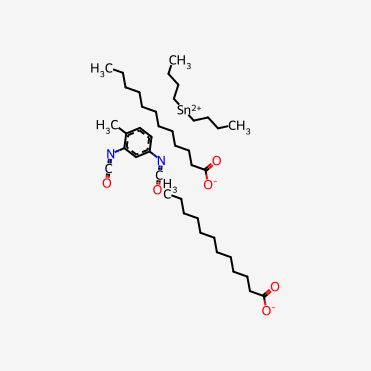 CCCCCCCCCCCC(=O)[O-].CCCCCCCCCCCC(=O)[O-].CCC[CH2][Sn+2][CH2]CCC.Cc1ccc(N=C=O)cc1N=C=O